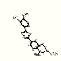 CC(C)Oc1ccc(-c2nc(-c3ccc4c(c3)CCN(C(=O)O)CC4C(C)(C)C)no2)cc1C#N